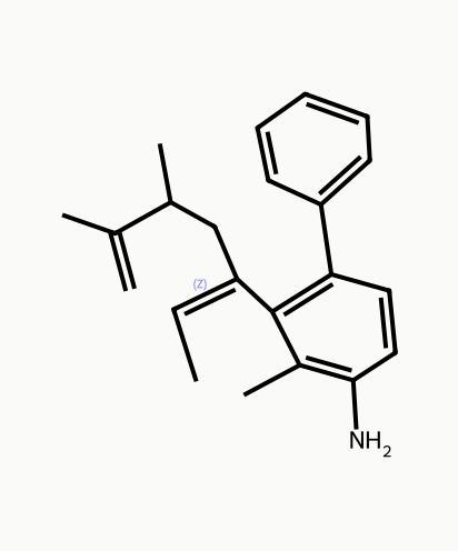 C=C(C)C(C)C/C(=C/C)c1c(-c2ccccc2)ccc(N)c1C